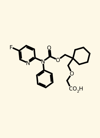 O=C(O)COCC1(COC(=O)N(c2ccccc2)c2ccc(F)cn2)CCCCC1